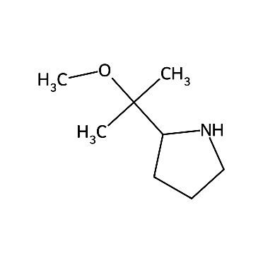 COC(C)(C)C1CCCN1